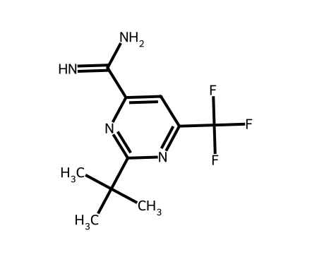 CC(C)(C)c1nc(C(=N)N)cc(C(F)(F)F)n1